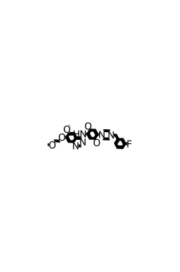 COCCOc1cc2ncnc(NC3=CC(=O)C(N4CCN(Cc5cccc(F)c5)CC4)=CC3=O)c2cc1OC